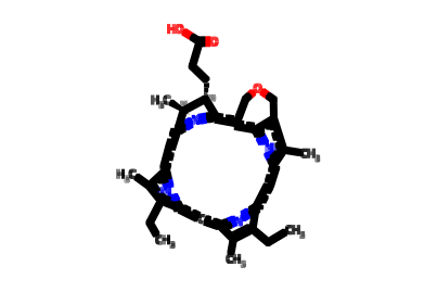 CCC1=C(C)c2cc3[nH]c(cc4nc(c5c6[nH]c(cc1n2)c(C)c6COC5)[C@@H](CCC(=O)O)[C@@H]4C)c(C)c3CC